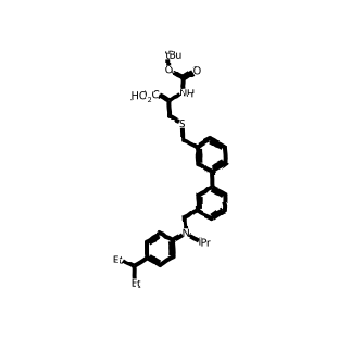 CCC(CC)c1ccc(N(Cc2cccc(-c3cccc(CSCC(NC(=O)OC(C)(C)C)C(=O)O)c3)c2)C(C)C)cc1